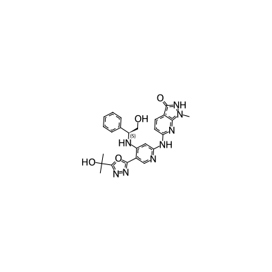 Cn1[nH]c(=O)c2ccc(Nc3cc(N[C@H](CO)c4ccccc4)c(-c4nnc(C(C)(C)O)o4)cn3)nc21